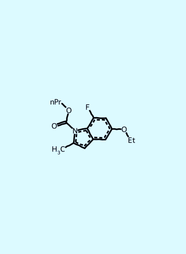 CCCOC(=O)n1c(C)cc2cc(OCC)cc(F)c21